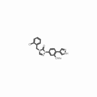 COc1cc(-n2ncn(Cc3ccccc3Cl)c2=O)ccc1-c1cn[nH]c1